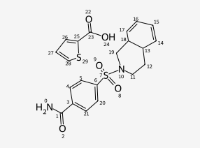 NC(=O)c1ccc(S(=O)(=O)N2CCC3C=CC=CC3C2)cc1.O=C(O)c1cccs1